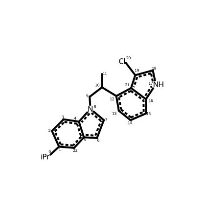 CC(C)c1ccc2c(ccn2CC(C)c2cccc3[nH]cc(Cl)c23)c1